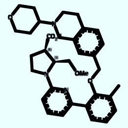 COC[C@@H]1[C@H](C(=O)O)CCN1c1cccc(-c2cccc(C)c2OCc2ccc3c(c2)CN(C2CCOCC2)CC3)n1